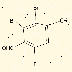 Cc1cc(F)c(C=O)c(Br)c1Br